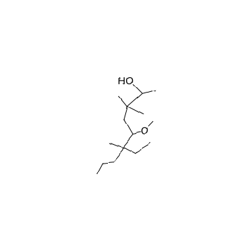 CCCC(C)(CC)C(CC(C)(C)C(C)O)OC